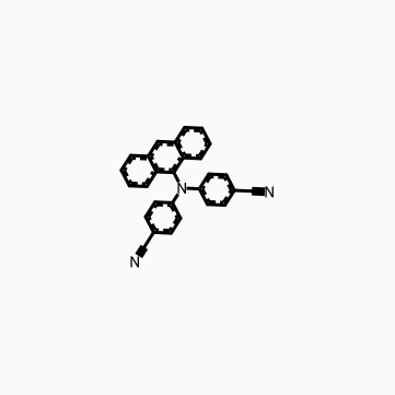 N#Cc1ccc(N(c2ccc(C#N)cc2)c2c3ccccc3cc3ccccc23)cc1